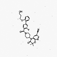 C[C@H](CCO)Oc1ccccc1-c1ccc(C(=O)N2CCC(N3C(=O)C(C)(C)Oc4ncc(C#N)cc43)CC2)c(F)c1